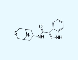 CN1C2CSCC1CC(NC(=O)c1c[nH]c3ccccc13)C2